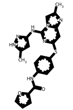 Cc1cn2c(Nc3cc(C)[nH]n3)nc(Sc3ccc(NC(=O)c4ccco4)cc3)cc2n1